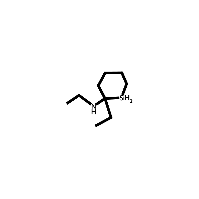 CCNC1(CC)CCCC[SiH2]1